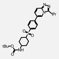 CC(C)c1nnc2ccc(-c3ccc(S(=O)(=O)C4CCC(NC(=O)OC(C)(C)C)CC4)cc3)cn12